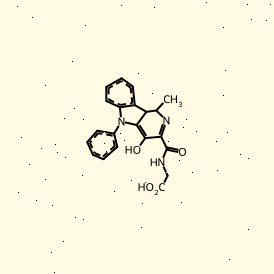 CC1N=C(C(=O)NCC(=O)O)C(O)=C2C1c1ccccc1N2c1ccccc1